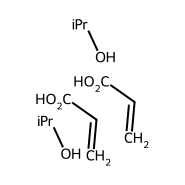 C=CC(=O)O.C=CC(=O)O.CC(C)O.CC(C)O